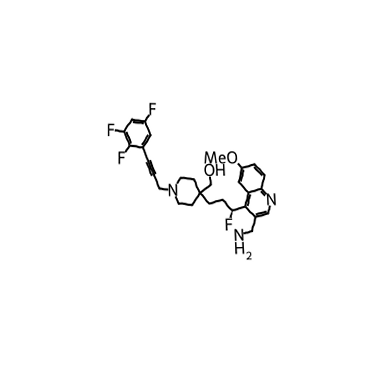 COc1ccc2ncc(CN)c([C@@H](F)CCC3(CO)CCN(CC#Cc4cc(F)cc(F)c4F)CC3)c2c1